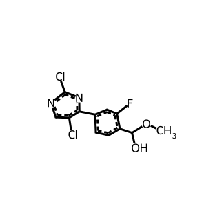 COC(O)c1ccc(-c2nc(Cl)ncc2Cl)cc1F